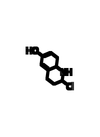 OC1=CCC2NC(Cl)CCC2=C1